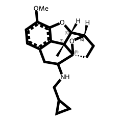 COc1ccc2c3c1O[C@@H]1[C@@H]4CC[C@](O4)(C(NCC4CC4)C2)[C@]31C